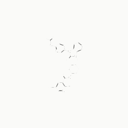 CC(=O)Nc1ccc(-n2c(=O)n(C[C@H]3CC[C@H](NC(=O)c4cc(Cl)cnc4C)CC3)c3ccccc32)cn1